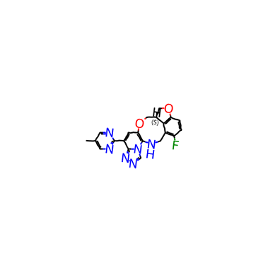 Cc1cnc(-c2cc3c(n4cnnc24)NCc2c(F)ccc4c2[C@@H](CO4)CO3)nc1